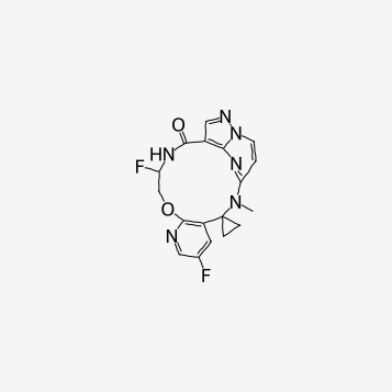 CN1c2ccn3ncc(c3n2)C(=O)NC(F)COc2ncc(F)cc2C12CC2